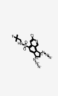 CC(C)(F)CNS(=O)(=O)c1cc2c(c3cnc(Cl)cc13)[C@@H](N=[N+]=[N-])C[C@H]2N=[N+]=[N-]